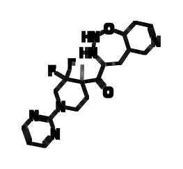 CC1(C(=O)C2CC3CN=CCC3ONN2)CCN(c2ncccn2)CC1(F)F